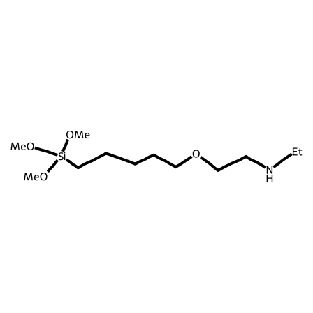 CCNCCOCCCCC[Si](OC)(OC)OC